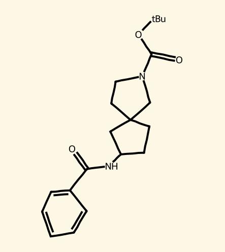 CC(C)(C)OC(=O)N1CCC2(CCC(NC(=O)c3ccccc3)C2)C1